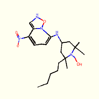 CCCCCC1(C)CC(NC2=CC=C([N+](=O)[O-])C3=CNON23)CC(C)(C)N1O